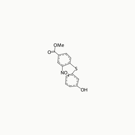 COC(=O)c1ccc(Sc2cccc(O)c2)c([N+](=O)[O-])c1